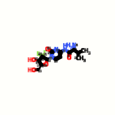 CC(C)C(N)C(=O)Nc1ccn([C@@H]2O[C@H](CO)[C@@H](O)C2(F)F)c(=O)n1